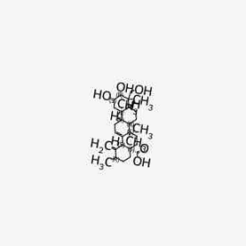 C=C1[C@H]2C3=CC[C@@H]4[C@@]5(C)C[C@H](O)[C@H](O)C(C)(CO)[C@@H]5CC[C@@]4(C)[C@]3(C)CC[C@@]2(C(=O)O)CC[C@H]1C